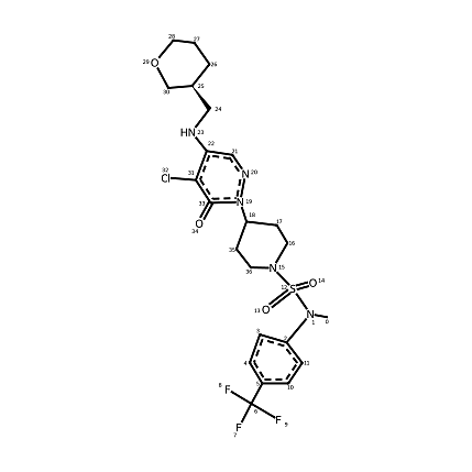 CN(c1ccc(C(F)(F)F)cc1)S(=O)(=O)N1CCC(n2ncc(NC[C@@H]3CCCOC3)c(Cl)c2=O)CC1